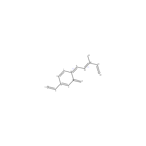 C=c1cc(C=O)cc/c1=C/C=C(\C)C=O